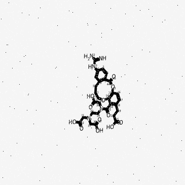 N=C(N)Nc1ccc2c(c1)CCCOc1c(ccc(CCC(=O)O)c1C(=O)N(CCN(CC(=O)O)CC(=O)O)CC(=O)O)OC2=O